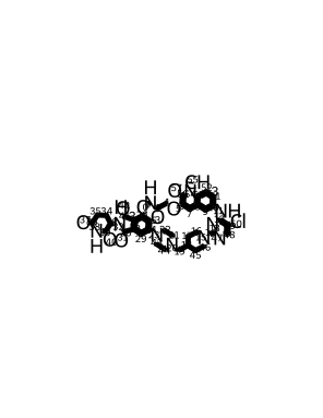 CNC(=O)COc1cc2cc(Nc3nc(N4CCC(CN5CCN(c6ccc7c(c6)C(=O)N(C6CCC(=O)NC6=O)C7=O)CC5)CC4)ncc3Cl)ccc2n(C)c1=O